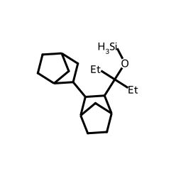 CCC(CC)(O[SiH3])C1C2CCC(C2)C1C1CC2CCC1C2